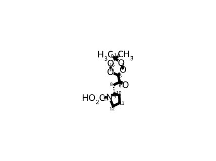 CC1(C)OOC(C(=O)C[C@@H]2CCCN2C(=O)O)OO1